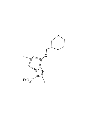 CCOC(=O)c1c(C)nc2c(OCC3CCCCC3)cc(C)cn12